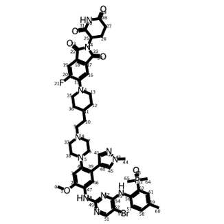 COc1cc(N2CCN(CCC3CCN(c4cc5c(cc4F)C(=O)N(C4CCC(=O)NC4=O)C5=O)CC3)CC2)c(-c2cnn(C)c2)cc1Nc1ncc(Br)c(Nc2ccc(C)cc2P(C)(C)=O)n1